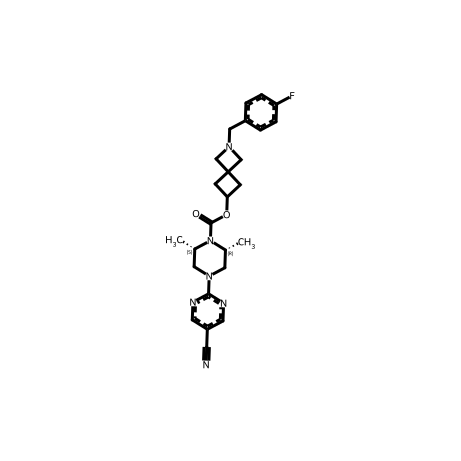 C[C@@H]1CN(c2ncc(C#N)cn2)C[C@H](C)N1C(=O)OC1CC2(C1)CN(Cc1ccc(F)cc1)C2